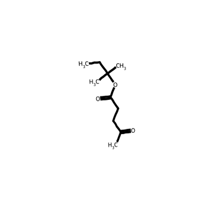 CCC(C)(C)OC(=O)CCC(C)=O